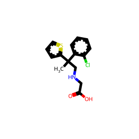 CC(CNCC(=O)O)(c1cccs1)c1ccccc1Cl